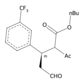 CCCCOC(=O)C(C(C)=O)[C@@H](CC=O)c1cccc(C(F)(F)F)c1